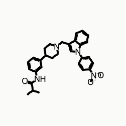 CC(C)C(=O)Nc1cccc(C2CCN(Cc3cn(-c4ccc([N+](=O)[O-])cc4)c4ccccc34)CC2)c1